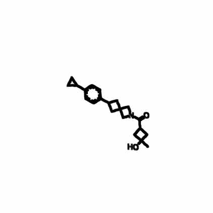 CC1(O)CC(C(=O)N2CC3(CC(c4ccc(C5CC5)cc4)C3)C2)C1